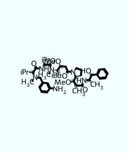 CC[C@H](C)[C@@H]([C@@H](CC(=O)N1CCC[C@H]1[C@H](OC)[C@@H](C)C(=O)N[C@H](C)[C@@H](O)c1ccccc1)OC)N(C)C(=O)[C@@H](NC(=O)[C@H](C(C)C)N(C)Cc1cccc(N)c1)C(C)C